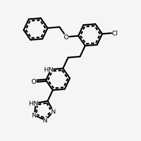 O=c1[nH]c(CCc2cc(Cl)ccc2OCc2ccccc2)ccc1-c1nnn[nH]1